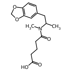 CC(Cc1ccc2c(c1)OCO2)N(C)C(=O)CCCC(=O)O